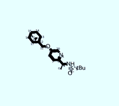 C[C@H](N[S@+]([O-])C(C)(C)C)c1ccc(OCC23CCC(CC2)CC3)cn1